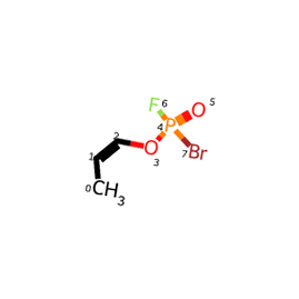 C/C=C\OP(=O)(F)Br